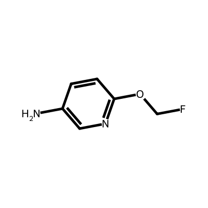 Nc1ccc(OCF)nc1